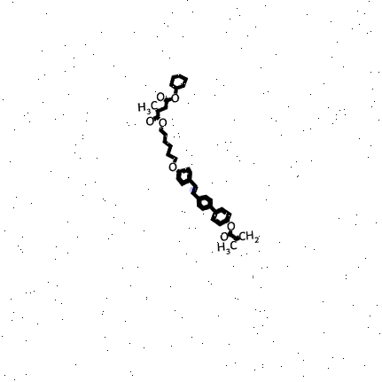 C=C(C)C(=O)Oc1ccc(-c2ccc(/C=C/c3ccc(OCCCCCCOC(=O)C(C)CC(=O)OC4CCCCC4)cc3)cc2)cc1